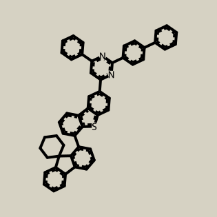 c1ccc(-c2ccc(-c3nc(-c4ccccc4)cc(-c4ccc5sc6c(-c7cccc8c7C7(CCCCC7)c7ccccc7-8)cccc6c5c4)n3)cc2)cc1